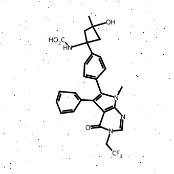 Cn1c(-c2ccc(C3(NC(=O)O)CC(C)(O)C3)cc2)c(-c2ccccc2)c2c(=O)n(CC(F)(F)F)cnc21